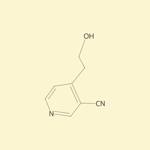 N#Cc1cnccc1CCO